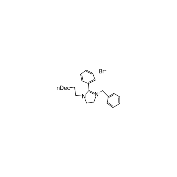 CCCCCCCCCCCCN1CC[N+](Cc2ccccc2)=C1c1ccccc1.[Br-]